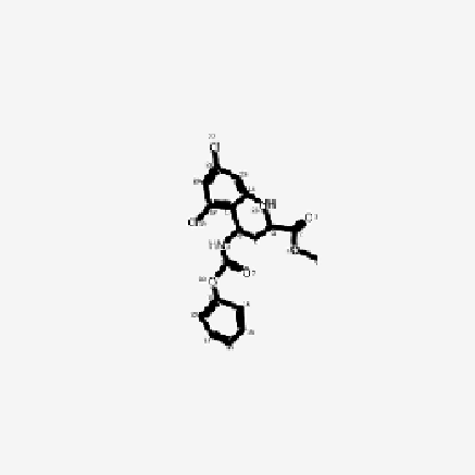 COC(=O)C1CC(NC(=O)Oc2ccccc2)c2c(Cl)cc(Cl)cc2N1